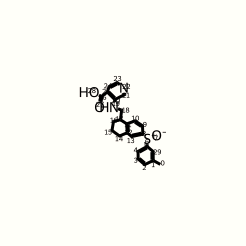 Cc1cccc([S+]([O-])c2ccc3c(c2)CCCC3CNc2cnccc2C(=O)O)c1